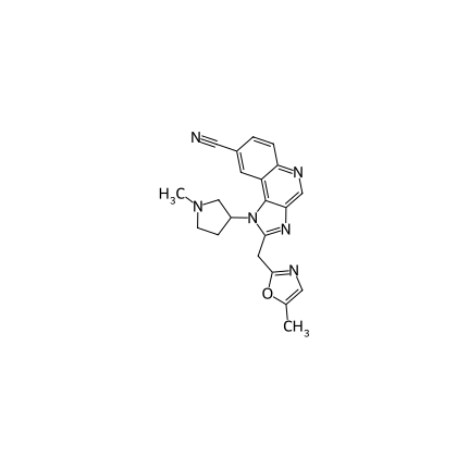 Cc1cnc(Cc2nc3cnc4ccc(C#N)cc4c3n2C2CCN(C)C2)o1